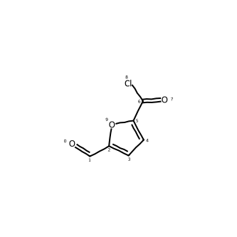 O=Cc1ccc(C(=O)Cl)o1